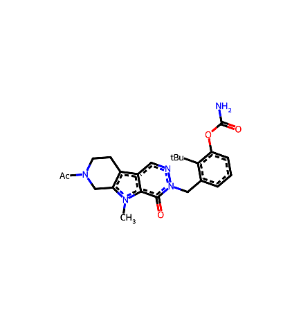 CC(=O)N1CCc2c(n(C)c3c(=O)n(Cc4cccc(OC(N)=O)c4C(C)(C)C)ncc23)C1